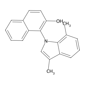 Cc1cn(-c2c(O)ccc3ccccc23)c2c(C)cccc12